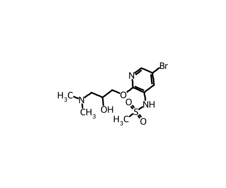 CN(C)CC(O)COc1ncc(Br)cc1NS(C)(=O)=O